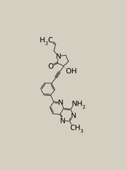 C=CCN1CC[C@@](O)(C#Cc2cccc(-c3ccc4nc(C)nc(N)c4n3)c2)C1=O